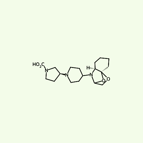 O=C(O)N1CC[C@H](N2CCC(N3C4CO[C@@]5(CCCC[C@H]35)O4)CC2)C1